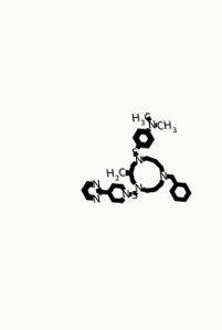 C=C1CN(Sc2ccc(N(C)C)cc2)CCCN(CC2CCCCC2)CCCN(SN2CCC(c3ncccn3)CC2)C1